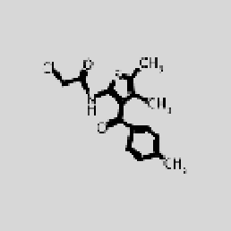 Cc1ccc(C(=O)c2c(NC(=O)CCl)sc(C)c2C)cc1